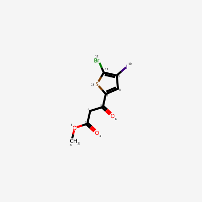 COC(=O)CC(=O)c1cc(I)c(Br)s1